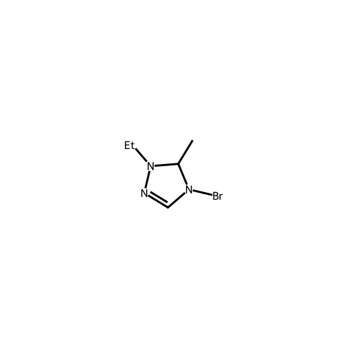 CCN1N=CN(Br)C1C